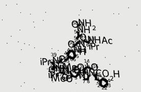 CC[C@H](C)[C@@H]([C@@H](CC(=O)N1CCC[C@H]1[C@H](OC)[C@@H](C)C(=O)N[C@@H](Cc1ccccc1)C(=O)O)OC)N(C)C(=O)[C@@H](NC(=O)C(C(C)C)N(C)C(=O)OCc1ccc(NC(=O)[C@H](CCCNC(N)=O)NC(=O)[C@@H](NC(C)=O)C(C)C)cc1)C(C)C